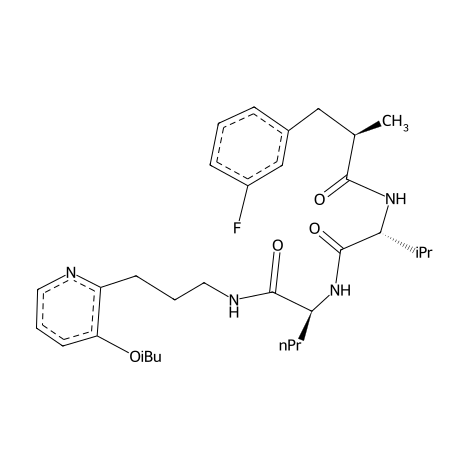 CCC[C@H](NC(=O)[C@H](NC(=O)[C@H](C)Cc1cccc(F)c1)C(C)C)C(=O)NCCCc1ncccc1OCC(C)C